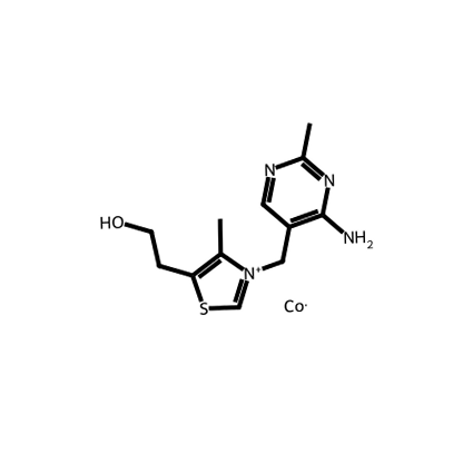 Cc1ncc(C[n+]2csc(CCO)c2C)c(N)n1.[Co]